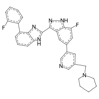 Fc1ccccc1-c1cccc2[nH]c(-c3n[nH]c4c(F)cc(-c5cncc(CN6CCCCC6)c5)cc34)nc12